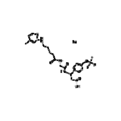 Cc1ccnc(NCCCCC(=O)NCC(=O)NC(CC(=O)O)c2ccc(OC(F)(F)F)cc2)c1.[Na]